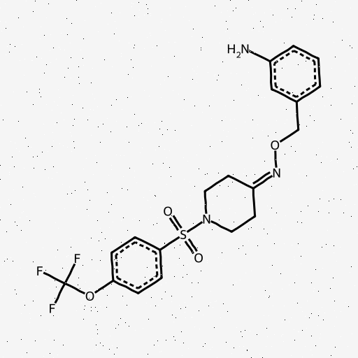 Nc1cccc(CON=C2CCN(S(=O)(=O)c3ccc(OC(F)(F)F)cc3)CC2)c1